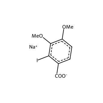 COc1ccc(C(=O)[O-])c(I)c1OC.[Na+]